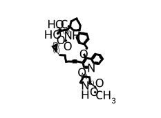 COC(=O)[C@@H]1C[C@@H](Oc2nc3ccccc3c(OCc3ccccc3)c2C#CCCC[C@@H]2C[C@H]2OC(=O)N[C@H](C(=O)O)C2(C)CCCCC2)CN1